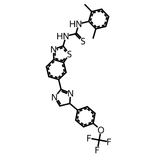 Cc1cccc(C)c1NC(=S)Nc1nc2ccc(C3=NC(c4ccc(OC(F)(F)F)cc4)C=N3)cc2s1